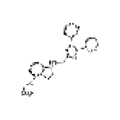 O=C(O)COc1cccc2c1CCC2NCc1nc(-c2ccccc2)c(-c2ccccc2)o1